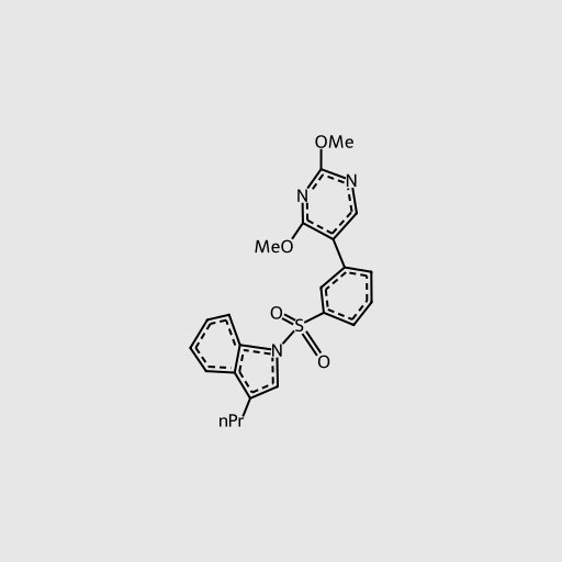 CCCc1cn(S(=O)(=O)c2cccc(-c3cnc(OC)nc3OC)c2)c2ccccc12